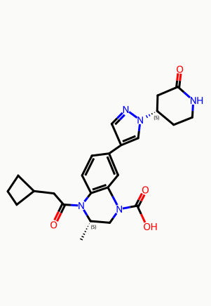 C[C@H]1CN(C(=O)O)c2cc(-c3cnn([C@H]4CCNC(=O)C4)c3)ccc2N1C(=O)CC1CCC1